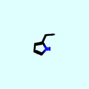 [CH2]Cc1ccc[nH]1